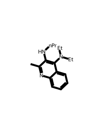 CCCNc1c(C)nc2ccccc2c1N(CC)CC